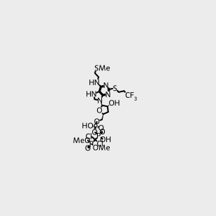 COP(=O)(OC)C(Cl)(Cl)P(=O)(O)OP(=O)(O)OC[C@@H]1C[C@@H](O)[C@H](N2CNc3c(NCCSC)nc(SCCC(F)(F)F)nc32)O1